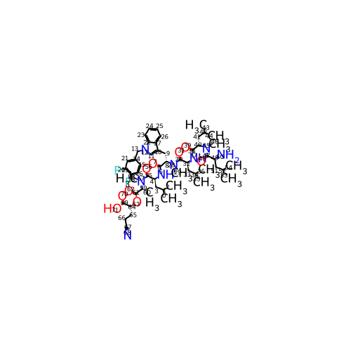 CC(C)C[C@H](NC(=O)[C@H](Cc1cn(Cc2ccc(F)c(F)c2)c2ccccc12)N(C)C(=O)[C@H](CC(C)C)NC(=O)[C@H](CC(C)C)N(C)C(=O)[C@@H](N)CC(C)C)C(=O)N(C)[C@@H](C)C(=O)O[C@H](CCC#N)C(=O)O